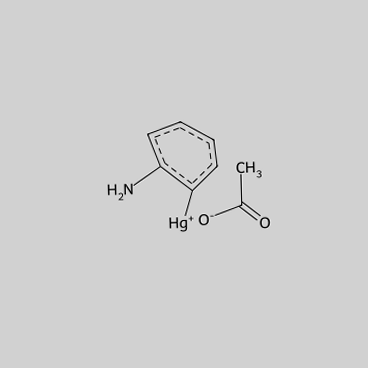 CC(=O)[O-].Nc1cccc[c]1[Hg+]